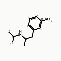 CC(F)NC(C)Cc1cccc(C(F)(F)F)c1